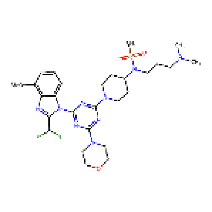 COc1cccc2c1nc(C(F)F)n2-c1nc(N2CCOCC2)nc(N2CCC(N(CCCN(C)C)S(C)(=O)=O)CC2)n1